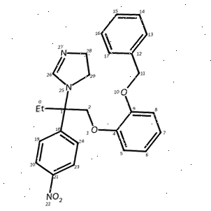 CCC(COc1ccccc1OCc1ccccc1)(c1ccc([N+](=O)[O-])cc1)N1C=NCC1